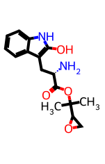 CC(C)(OC(=O)[C@@H](N)Cc1c(O)[nH]c2ccccc12)C1CO1